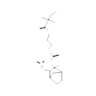 CCC(C)(C)C(=O)OCCOC(=O)OC1(C)C2CCC(C2)C1O[SH](=O)=O